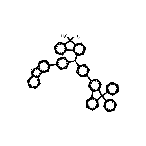 CC1(C)c2ccccc2-c2c(N(c3ccc(-c4ccc5c(c4)-c4ccccc4C5(c4ccccc4)c4ccccc4)cc3)c3ccc(-c4ccc5sc6ccccc6c5c4)cc3)cccc21